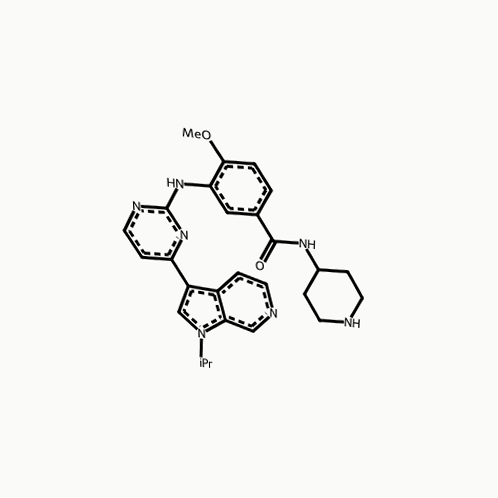 COc1ccc(C(=O)NC2CCNCC2)cc1Nc1nccc(-c2cn(C(C)C)c3cnccc23)n1